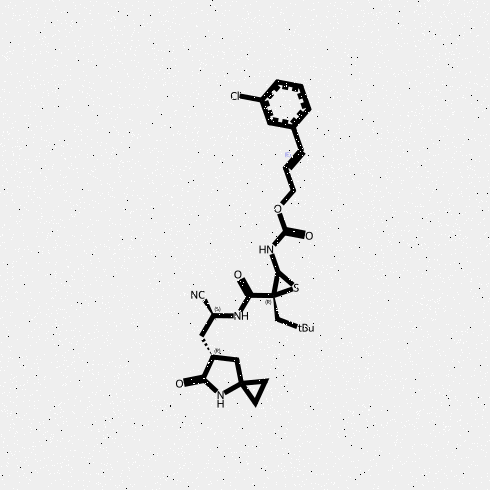 CC(C)(C)C[C@]1(C(=O)N[C@H](C#N)C[C@@H]2CC3(CC3)NC2=O)SC1NC(=O)OC/C=C/c1cccc(Cl)c1